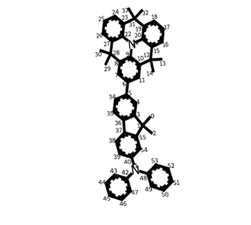 CC1(C)c2cc(-c3cc4c5c(c3)C(C)(C)c3cccc6c3N5c3c(cccc3C4(C)C)C6(C)C)ccc2-c2ccc(N(c3ccccc3)c3ccccc3)cc21